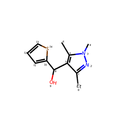 CCc1nn(C)c(C)c1C(O)c1cccs1